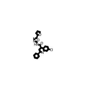 O=C(Nc1nnc(-c2ccco2)o1)c1cc(-c2ccccc2)nc2cc(Cl)ccc12